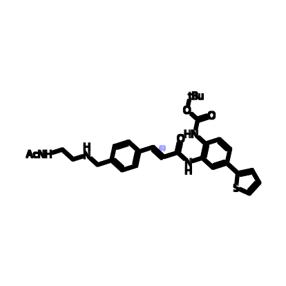 CC(=O)NCCNCc1ccc(/C=C/C(=O)Nc2cc(-c3cccs3)ccc2NC(=O)OC(C)(C)C)cc1